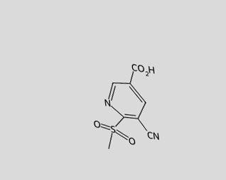 CS(=O)(=O)c1ncc(C(=O)O)cc1C#N